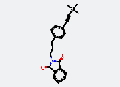 C[Si](C)(C)C#Cc1ccc(CCCN2C(=O)c3ccccc3C2=O)cc1